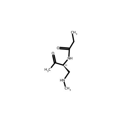 CCC(=O)N[C@@H](CNC)C(C)=O